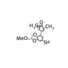 COCC1COc2c(cc(S)cc2-c2cc(C)c(=O)n(C)c2)O1